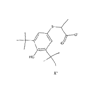 CC(Sc1cc(C(C)(C)C)c(O)c(C(C)(C)C)c1)C(=O)[O-].[K+]